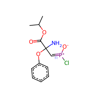 CC(C)OC(=O)C(N)(/C=[P+](\[O-])Cl)Oc1ccccc1